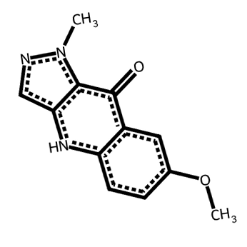 COc1ccc2[nH]c3cnn(C)c3c(=O)c2c1